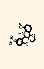 COc1cccc2c1NC(c1cc([N+](=O)[O-])ccc1Cl)C1OCCOC21